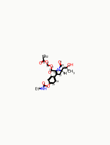 CCNC(=O)Oc1ccc(C2=C(C(=O)OCOC(=O)C(C)(C)C)N3C(=O)[C@H]([C@@H](C)O)[C@H]3C2)cc1